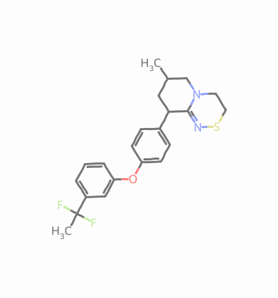 CC1CC(c2ccc(Oc3cccc(C(C)(F)F)c3)cc2)C2=NSCCN2C1